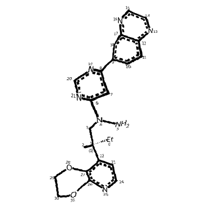 CC[C@](C)(CN(N)c1cc(-c2ccc3nccnc3c2)ncn1)c1ccnc2c1OCCO2